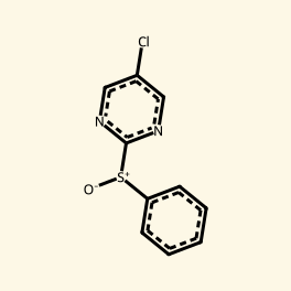 [O-][S+](c1ccccc1)c1ncc(Cl)cn1